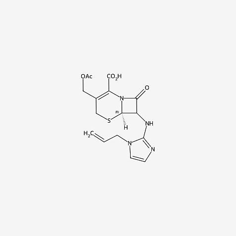 C=CCn1ccnc1NC1C(=O)N2C(C(=O)O)=C(COC(C)=O)CS[C@H]12